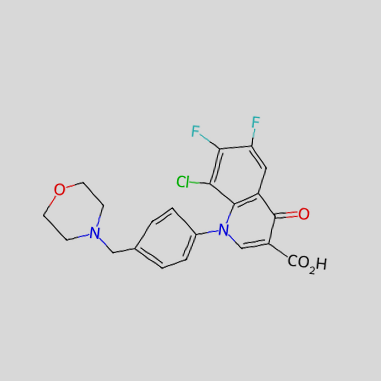 O=C(O)c1cn(-c2ccc(CN3CCOCC3)cc2)c2c(Cl)c(F)c(F)cc2c1=O